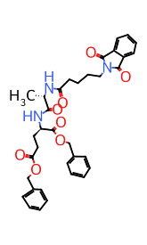 C[C@H](NC(=O)CCCCN1C(=O)c2ccccc2C1=O)C(=O)N[C@H](CCC(=O)OCc1ccccc1)C(=O)OCc1ccccc1